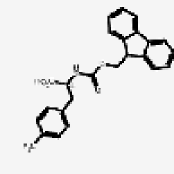 O=C(N[C@@H](Cc1ccc(C(F)(F)F)cc1)C(=O)O)OCC1c2ccccc2-c2ccccc21